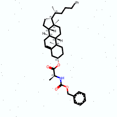 CC(C)CCC[C@@H](C)[C@H]1CC[C@H]2[C@@H]3CC=C4C[C@@H](OC(=O)[C@H](C)NC(=O)OCc5ccccc5)CC[C@]4(C)[C@H]3CC[C@]12C